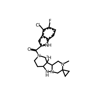 [2H]C12CN(C(=O)c3cc4c(Cl)c(F)ccc4[nH]3)CCC1NN1CC3(CC3)N(C)CC12